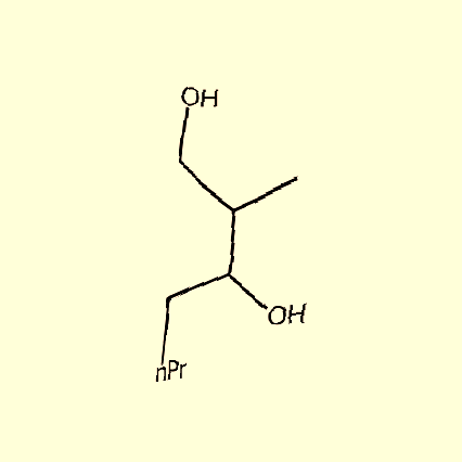 CCCCC(O)C(C)CO